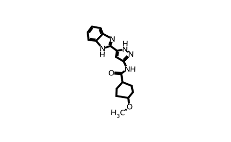 COC1CCC(C(=O)Nc2cc(-c3nc4ccccc4[nH]3)[nH]n2)CC1